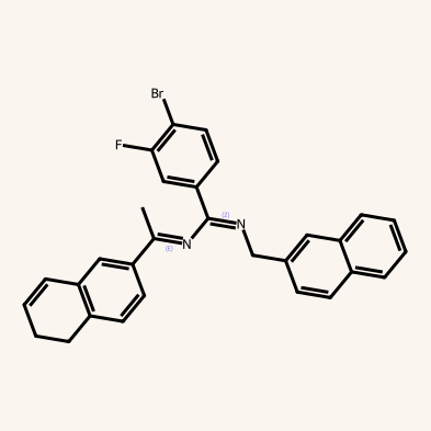 C/C(=N\C(=N/Cc1ccc2ccccc2c1)c1ccc(Br)c(F)c1)c1ccc2c(c1)C=CCC2